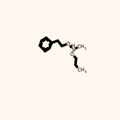 CCCO[SiH](C)OCCc1ccccc1